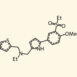 CCN(Cc1ccc(-c2ccc(OC)c(S(=O)(=O)CC)c2)[nH]1)Cc1cccs1